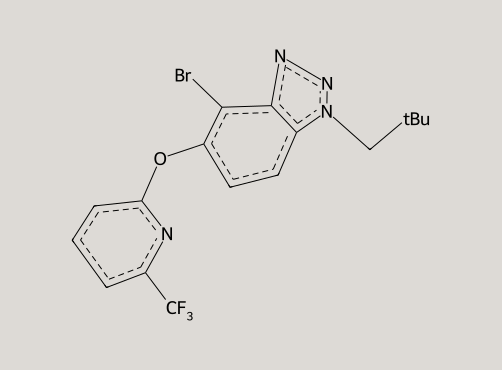 CC(C)(C)Cn1nnc2c(Br)c(Oc3cccc(C(F)(F)F)n3)ccc21